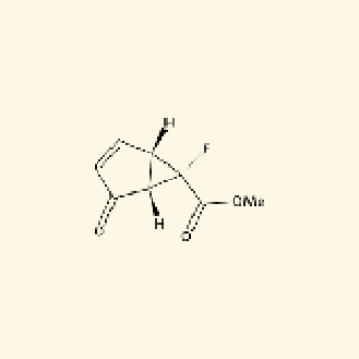 COC(=O)[C@@]1(F)[C@@H]2C(=O)C=C[C@@H]21